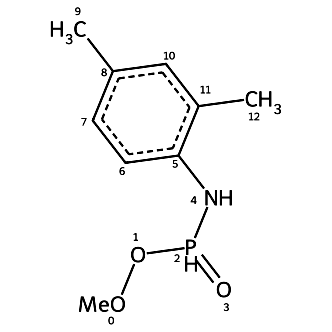 COO[PH](=O)Nc1ccc(C)cc1C